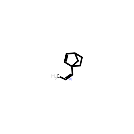 C/C=C\C12C=CC(CC1)C2